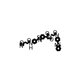 CN(C(=O)CCN1C(=O)CC(c2ccc3sc(-c4ccc(NC(=O)CCc5cnco5)cc4)nc3c2)C1=O)c1ccc(-c2nc3ccccc3s2)cc1